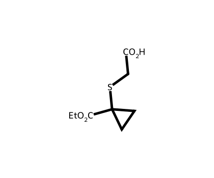 CCOC(=O)C1(SCC(=O)O)CC1